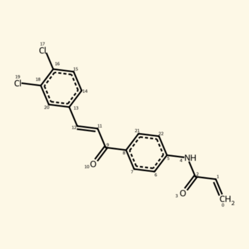 C=CC(=O)Nc1ccc(C(=O)/C=C/c2ccc(Cl)c(Cl)c2)cc1